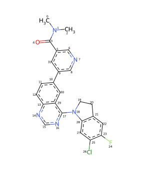 CN(C)C(=O)c1cncc(-c2ccc3ncnc(N4CCc5cc(F)c(Cl)cc54)c3c2)c1